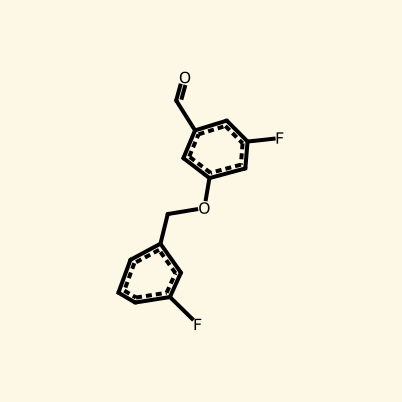 O=Cc1cc(F)cc(OCc2cccc(F)c2)c1